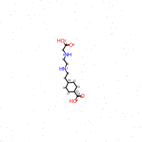 O=C(O)CNCCNCCC1CCC(C(=O)O)CC1